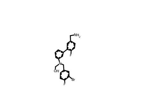 NCc1ccc(F)c(-c2cccc(N(CO)Cc3ccc(F)c(Br)c3)c2)c1